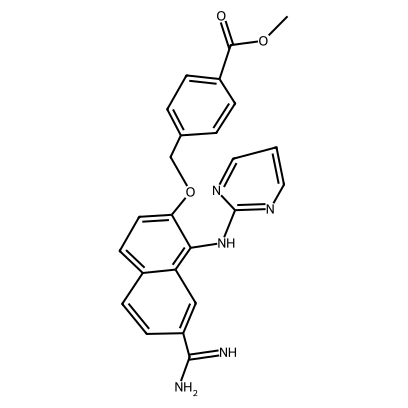 COC(=O)c1ccc(COc2ccc3ccc(C(=N)N)cc3c2Nc2ncccn2)cc1